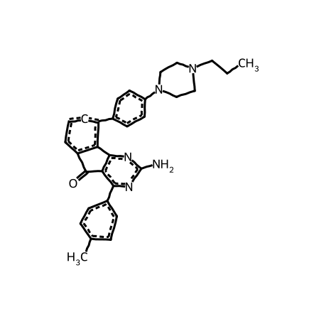 CCCN1CCN(c2ccc(-c3cccc4c3-c3nc(N)nc(-c5ccc(C)cc5)c3C4=O)cc2)CC1